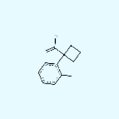 NC(=O)C1(c2ccccc2F)CCC1